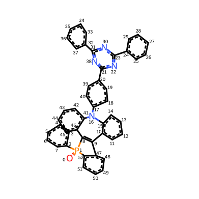 O=P1(c2ccccc2)C2=C(c3ccccc3N(c3ccc(-c4nc(-c5ccccc5)nc(-c5ccccc5)n4)cc3)c3ccccc32)c2ccccc21